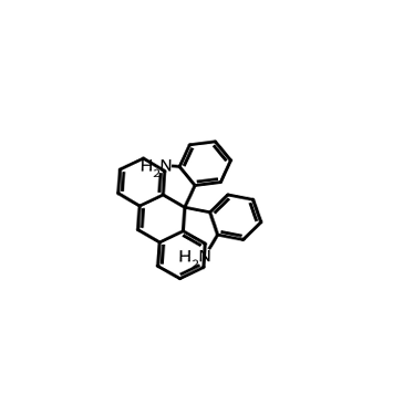 Nc1ccccc1C1(c2ccccc2N)C2=CCC=CC2=Cc2ccccc21